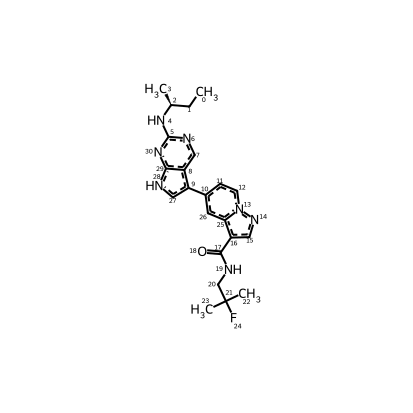 CC[C@H](C)Nc1ncc2c(-c3ccn4ncc(C(=O)NCC(C)(C)F)c4c3)c[nH]c2n1